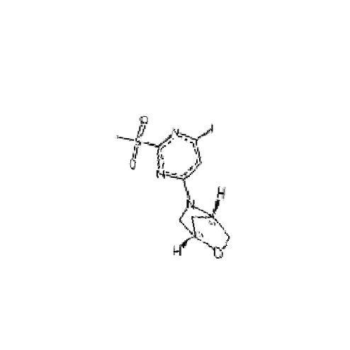 CS(=O)(=O)c1nc(I)cc(N2C[C@@H]3C[C@H]2CO3)n1